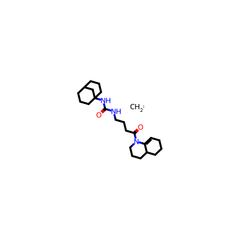 O=C(NCCCC(=O)N1CCCC2CCCC=C21)NC12CCCC(CCC1)C2.[CH2]